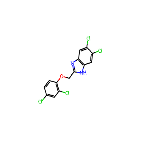 Clc1ccc(OCc2nc3cc(Cl)c(Cl)cc3[nH]2)c(Cl)c1